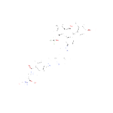 O=C1CC[C@H](N2Cc3cc(N4CCN(CC5CCN(c6ccc([C@H]7c8ccc(O)cc8CO[C@H]7c7cccc(OC(F)(F)F)c7)cc6)CC5)CC4)ccc3C2=O)C(=O)N1